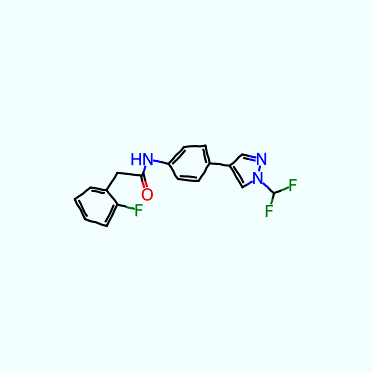 O=C(Cc1ccccc1F)Nc1ccc(-c2cnn(C(F)F)c2)cc1